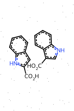 O=C(O)c1c[nH]c2ccccc12.O=C(O)c1cc2ccccc2[nH]1